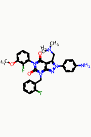 COc1cccc(-n2c(=O)c3c(CN(C)C)n(-c4ccc(N)cc4)nc3n(Cc3ccccc3F)c2=O)c1F